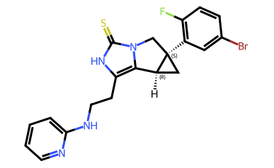 Fc1ccc(Br)cc1[C@]12C[C@H]1c1c(CCNc3ccccn3)[nH]c(=S)n1C2